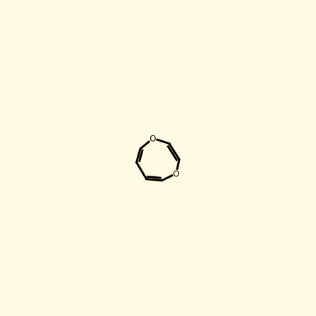 c1ccoccoc1